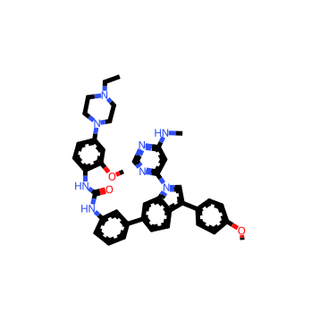 CCN1CCN(c2ccc(NC(=O)Nc3cccc(-c4ccc5c(-c6ccc(OC)cc6)cn(-c6cc(NC)ncn6)c5c4)c3)c(OC)c2)CC1